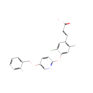 Cc1cc(Oc2ccc(OCc3ccccc3Cl)cn2)c(Cl)cc1/C=C/C(=O)O